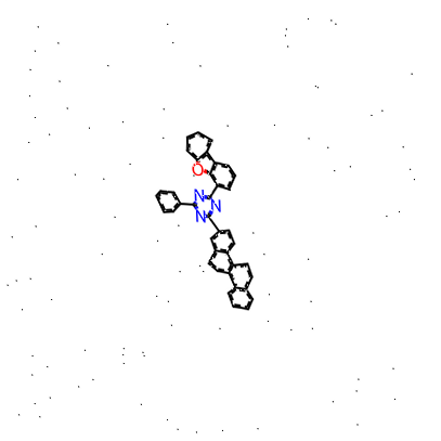 c1ccc(-c2nc(-c3ccc4c(ccc5c6ccccc6ccc45)c3)nc(-c3cccc4c3oc3ccccc34)n2)cc1